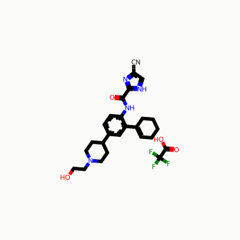 N#Cc1c[nH]c(C(=O)Nc2ccc(C3CCN(CCO)CC3)cc2C2=CCCCC2)n1.O=C(O)C(F)(F)F